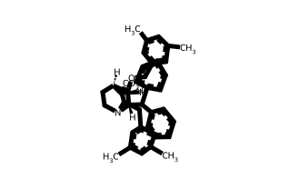 Cc1cc(C)cc(CO[C@H]2[C@@H]3CCN(C(Cc4cc(C)cc(C)c4)[C@H]3C(=O)O)[C@H]2C(c2ccccc2)c2ccccc2)c1